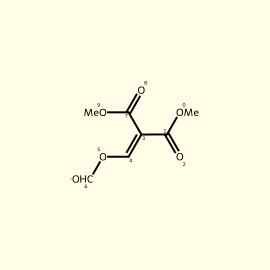 COC(=O)C(=CO[C]=O)C(=O)OC